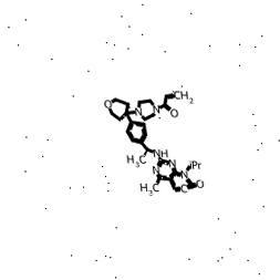 C=CC(=O)N1CCN(C2(c3ccc([C@H](C)Nc4nc(C)c5ccc(=O)n(C(C)C)c5n4)cc3)CCOCC2)CC1